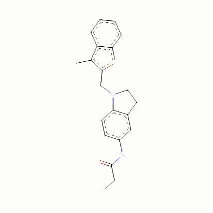 Cc1c(CN2CCc3cc(NC(=O)CC(C)(C)C)ccc32)sc2ccccc12